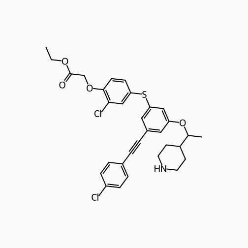 CCOC(=O)COc1ccc(Sc2cc(C#Cc3ccc(Cl)cc3)cc(OC(C)C3CCNCC3)c2)cc1Cl